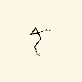 COC1(CCC(C)=O)CC1